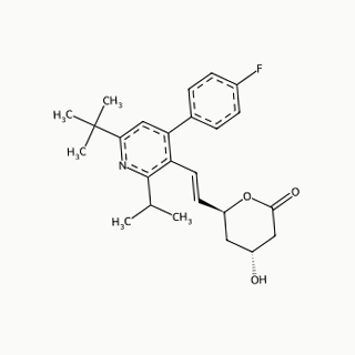 CC(C)c1nc(C(C)(C)C)cc(-c2ccc(F)cc2)c1/C=C/[C@@H]1C[C@@H](O)CC(=O)O1